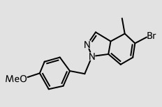 COc1ccc(CN2N=CC3C2=CC=C(Br)C3C)cc1